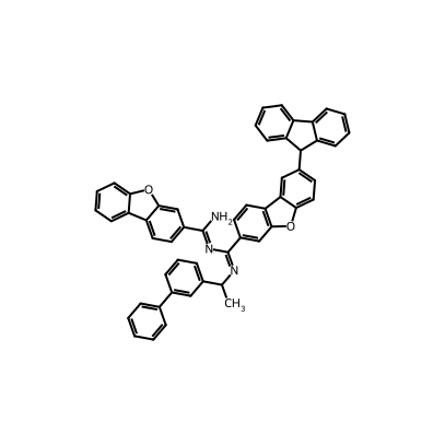 CC(/N=C(\N=C(/N)c1ccc2c(c1)oc1ccccc12)c1ccc2c(c1)oc1ccc(C3c4ccccc4-c4ccccc43)cc12)c1cccc(-c2ccccc2)c1